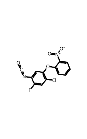 O=C=Nc1cc(Oc2ccccc2[N+](=O)[O-])c(Cl)cc1F